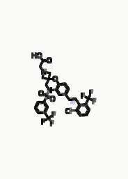 O=C(O)CN1CC2(C1)CN(S(=O)(=O)c1cccc(C(F)(F)F)c1)c1cc(/C=C/c3c(Cl)cccc3C(F)(F)F)ccc1O2